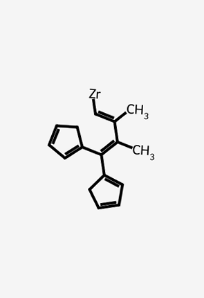 CC(=[CH][Zr])C(C)=C(C1=CC=CC1)C1=CC=CC1